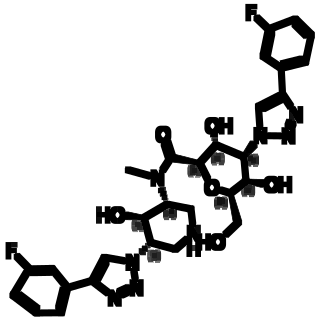 CN(C(=O)[C@@H]1O[C@H](CO)[C@H](O)[C@H](n2cc(-c3cccc(F)c3)nn2)[C@H]1O)[C@@H]1CNC[C@H](n2cc(-c3cccc(F)c3)nn2)[C@H]1O